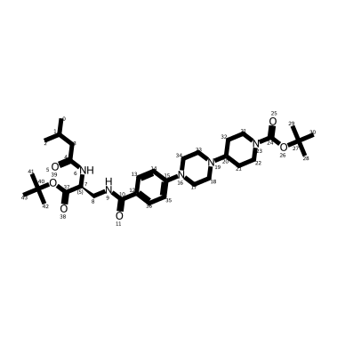 CC(C)CC(=O)N[C@@H](CNC(=O)c1ccc(N2CCN(C3CCN(C(=O)OC(C)(C)C)CC3)CC2)cc1)C(=O)OC(C)(C)C